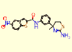 CC1(c2cccc(NC(=O)c3cc4cc([N+](=O)[O-])ccc4s3)c2)CCSC(N)=N1